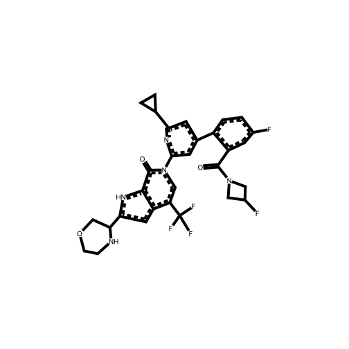 O=C(c1cc(F)ccc1-c1cc(C2CC2)nc(-n2cc(C(F)(F)F)c3cc(C4COCCN4)[nH]c3c2=O)c1)N1CC(F)C1